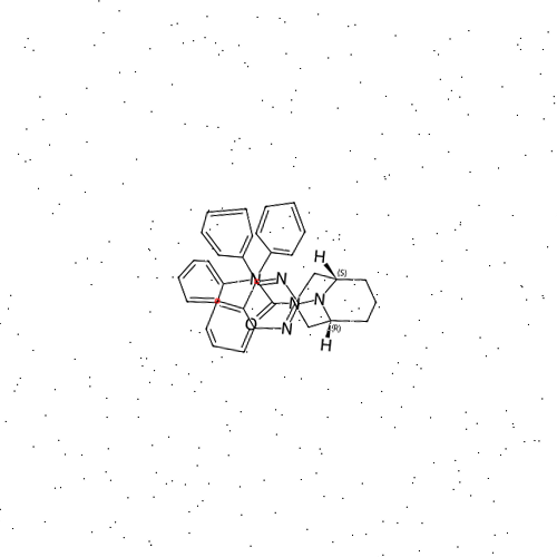 O=C(N1C[C@H]2CCC[C@@H](C1)N2c1nc(-c2ccccc2)c2ccccc2n1)N(c1ccccc1)c1ccccc1